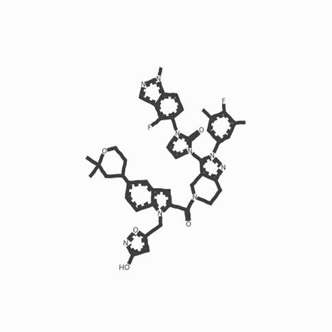 Cc1cc(-n2nc3c(c2-n2ccn(-c4ccc5c(cnn5C)c4F)c2=O)CN(C(=O)c2cc4cc(C5CCOC(C)(C)C5)ccc4n2Cc2cc(O)no2)CC3)cc(C)c1F